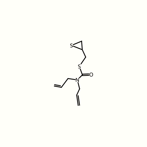 C=CCN(CC=C)C(=O)SCC1CS1